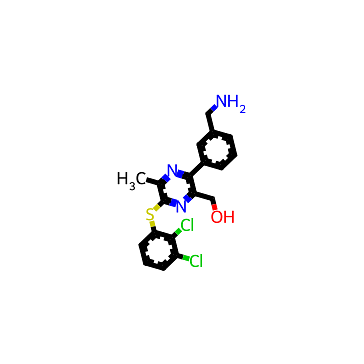 Cc1nc(-c2cccc(CN)c2)c(CO)nc1Sc1cccc(Cl)c1Cl